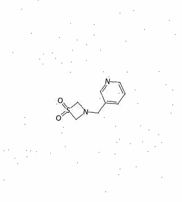 O=S1(=O)CN(Cc2cccnc2)C1